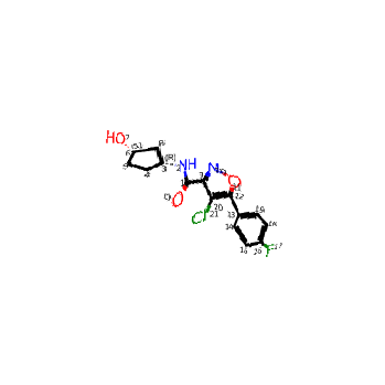 O=C(N[C@@H]1CC[C@H](O)C1)c1noc(-c2ccc(F)cc2)c1Cl